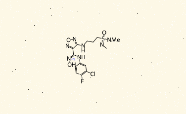 CN=S(=O)(CCCNc1nonc1/C(=N/O)Nc1ccc(F)c(Cl)c1)NC